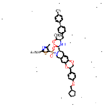 COC(=O)C(Cc1ccc(-c2ccc(C#N)cc2)cc1)NC(=O)C1Cc2cc3c(cc2CN1S(=O)(=O)c1sc(NC(C)=O)nc1C)OC(c1ccc(OCC2CCCC2)cc1)CO3